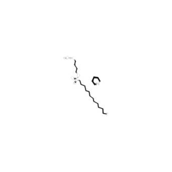 CCCCCCCCCCCCCCOS(=O)(=O)CCCCCCCCCCCCF.c1ccncc1